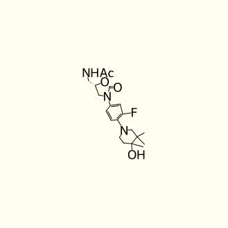 CC(=O)NC[C@H]1CN(c2ccc(N3CCC(C)(O)C(C)(C)C3)c(F)c2)C(=O)O1